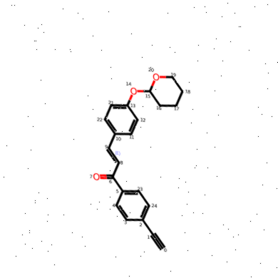 C#Cc1ccc(C(=O)/C=C/c2ccc(OC3CCCCO3)cc2)cc1